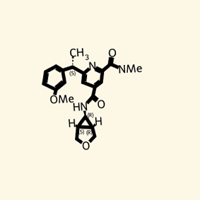 CNC(=O)c1cc(C(=O)N[C@H]2[C@@H]3COC[C@@H]32)cc([C@@H](C)c2cccc(OC)c2)n1